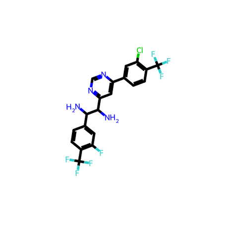 NC(c1ccc(C(F)(F)F)c(F)c1)C(N)c1cc(-c2ccc(C(F)(F)F)c(Cl)c2)ncn1